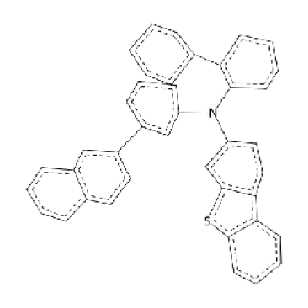 c1ccc(-c2ccccc2N(c2cccc(-c3ccc4ccccc4c3)c2)c2ccc3c(c2)sc2ccccc23)cc1